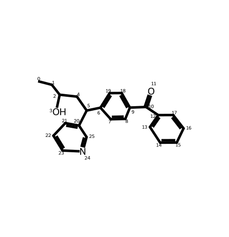 CCC(O)CC(c1ccc(C(=O)c2ccccc2)cc1)c1cccnc1